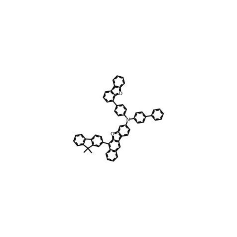 CC1(C)c2ccccc2-c2ccc(-c3c4ccccc4cc4c3oc3cc(N(c5ccc(-c6ccccc6)cc5)c5ccc(-c6cccc7c6oc6ccccc67)cc5)ccc34)cc21